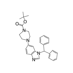 CC(C)(C)OC(=O)N1CCN(c2ccc3ncn(C(c4ccccc4)c4ccccc4)c3c2)CC1